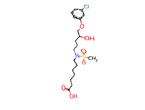 CS(=O)(=O)N(CCCCCCC(=O)O)CCCC(O)COc1cccc(Cl)c1